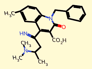 Cc1ccc2c(c1)c(C(=N)CC(C)N(C)C)c(C(=O)O)c(=O)n2Cc1ccccc1